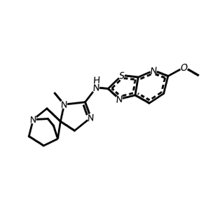 COc1ccc2nc(NC3=NCC4(CN5CCC4CC5)N3C)sc2n1